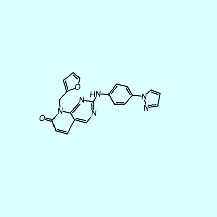 O=c1ccc2cnc(Nc3ccc(-n4cccn4)cc3)nc2n1Cc1ccco1